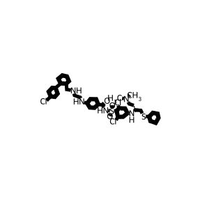 CN(C)CC[C@H](CSc1ccccc1)Nc1cc(Cl)c(S(=O)(=O)NC(=O)c2ccc(NCCNCc3ccccc3-c3ccc(Cl)cc3)cc2)c(Cl)c1